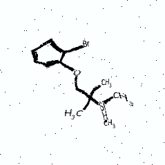 C[SiH](C)C(C)(C)COc1ccccc1Br